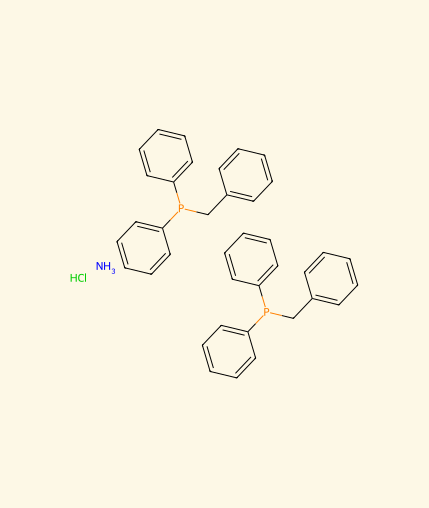 Cl.N.c1ccc(CP(c2ccccc2)c2ccccc2)cc1.c1ccc(CP(c2ccccc2)c2ccccc2)cc1